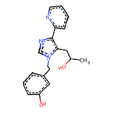 CC(O)Cc1c(-c2ccccn2)ncn1Cc1cccc(O)c1